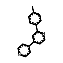 Cc1ccc(-c2cc(-c3ccncc3)ccn2)cc1